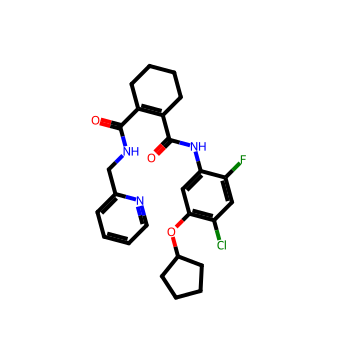 O=C(NCc1ccccn1)C1=C(C(=O)Nc2cc(OC3CCCC3)c(Cl)cc2F)CCCC1